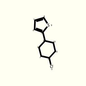 ClC1C[CH]C(c2cccs2)CC1